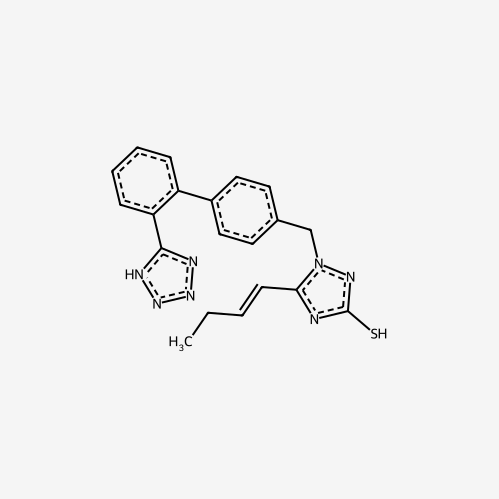 CCC=Cc1nc(S)nn1Cc1ccc(-c2ccccc2-c2nnn[nH]2)cc1